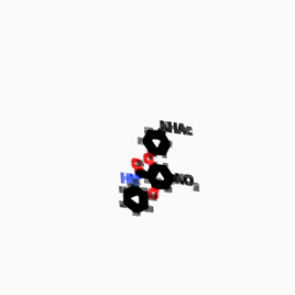 CC(=O)Nc1ccc(Oc2cc([N+](=O)[O-])cc3c2C(=O)Nc2ccccc2O3)cc1